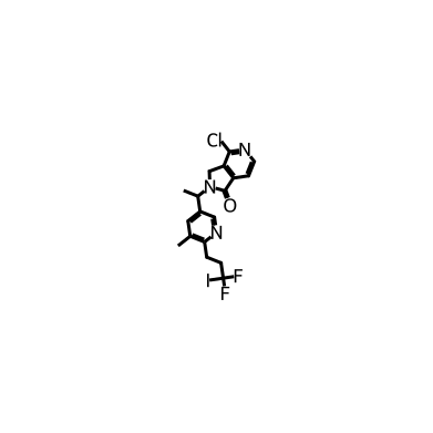 Cc1cc(C(C)N2Cc3c(ccnc3Cl)C2=O)cnc1CCC(F)(F)I